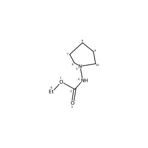 CCOC(=O)NN1CCCCC1